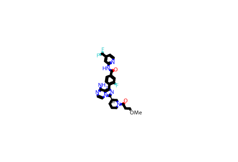 COCCC(=O)N1CCC[C@@H](c2nc(-c3ccc(C(=O)Nc4cc(C(F)F)ccn4)cc3F)c3c(N)nccn23)C1